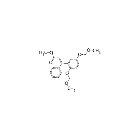 COCOc1ccc(OCOC)c(C(=CC(=O)OC)c2ccccc2)c1